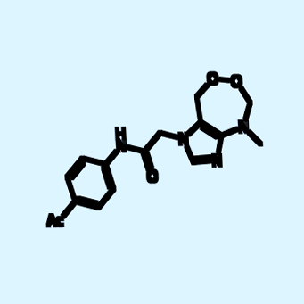 CC(=O)c1ccc(NC(=O)Cn2cnc3c2COOCN3C)cc1